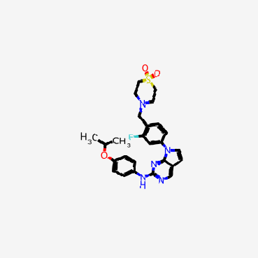 CC(C)Oc1ccc(Nc2ncc3ccn(-c4ccc(CN5CCS(=O)(=O)CC5)c(F)c4)c3n2)cc1